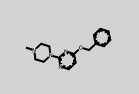 CN1CCN(c2nccc(OCc3ccccc3)n2)CC1